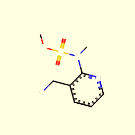 COS(=O)(=O)N(C)c1ncccc1CN